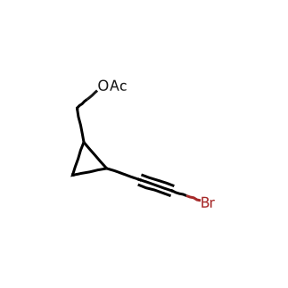 CC(=O)OCC1CC1C#CBr